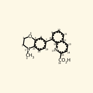 CN1CCOc2cc(-c3cccc4ccc(C(=O)O)nc34)ccc21